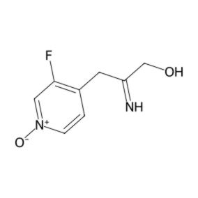 N=C(CO)Cc1cc[n+]([O-])cc1F